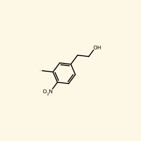 [CH2]c1cc(CCO)ccc1[N+](=O)[O-]